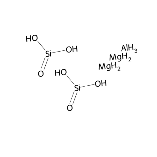 O=[Si](O)O.O=[Si](O)O.[AlH3].[MgH2].[MgH2]